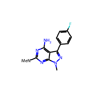 CNc1nc(N)c2c(-c3ccc(F)cc3)nn(C)c2n1